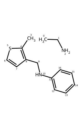 CCN.Cc1sccc1CNc1ccccc1